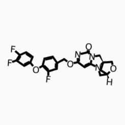 O=c1nc(OCc2ccc(Oc3ccc(F)c(F)c3)c(F)c2)cc2n1C[C@]13CO[C@H](CN21)C3